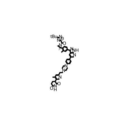 Cc1cc(CCN2CCN(c3ccc(-c4cnc5[nH]nc(-c6ccc([C@@]7(C)CN7C(=O)c7nc(C(C)(C)C)no7)c(C)c6)c5c4)cc3)CC2)ncc1C1CCC(=O)NC1=O